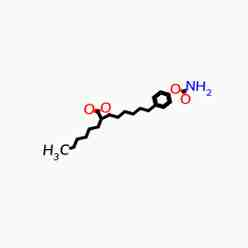 CCCCCCC1C(=O)OC1CCCCCc1ccc(OC(N)=O)cc1